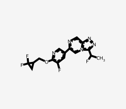 CC(F)c1nnc2cnc(-c3cnc(OCC4CC4(F)F)c(F)c3)cn12